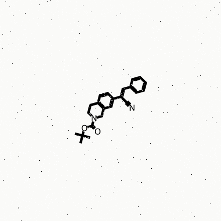 CC(C)(C)OC(=O)N1CCc2ccc(/C(C#N)=C/c3ccccc3)cc2C1